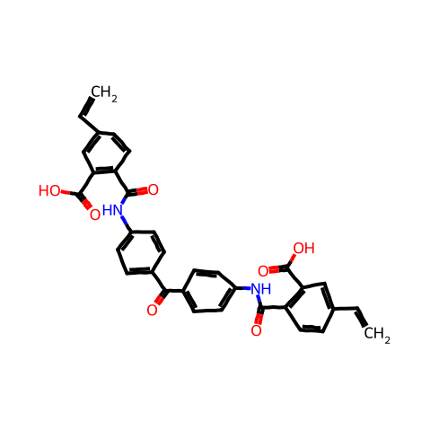 C=Cc1ccc(C(=O)Nc2ccc(C(=O)c3ccc(NC(=O)c4ccc(C=C)cc4C(=O)O)cc3)cc2)c(C(=O)O)c1